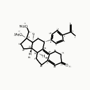 C=C(C)c1ccc([C@H]2C[C@@]3(C)[C@@H](CC[C@]3(COC)OC)[C@@H]3CCC4=CC(=O)CCC4=C32)cc1